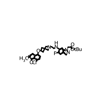 Cn1ccc2c(OC3CC4(C3)CN(CCNc3cc5c(cnn5CC(=O)OC(C)(C)C)cc3F)C4)ccc(Cl)c2c1=O